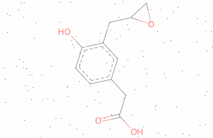 O=C(O)Cc1ccc(O)c(CC2CO2)c1